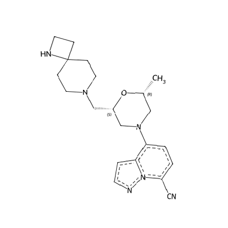 C[C@@H]1CN(c2ccc(C#N)n3nccc23)C[C@H](CN2CCC3(CCN3)CC2)O1